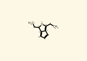 CC[C]1OC(CC)=C2C=CC=C12